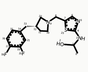 CC(O)Nc1ncc(CN2CC[C@H](Cc3ccc(F)c(F)c3)C2)s1